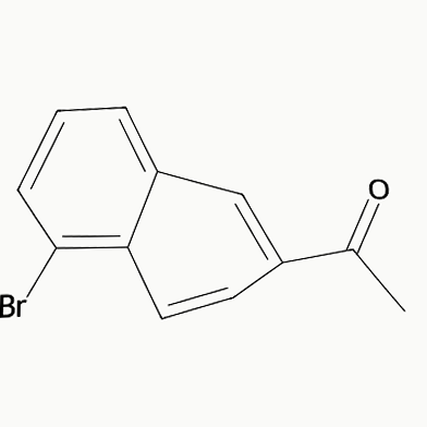 CC(=O)c1ccc2c(Br)cccc2c1